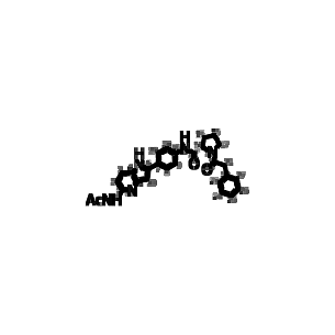 CC(=O)Nc1ccc2[nH]c(-c3ccc(NC(=O)[C@@H]4CCCN4C(=O)Cc4ccccc4)cc3)cc2n1